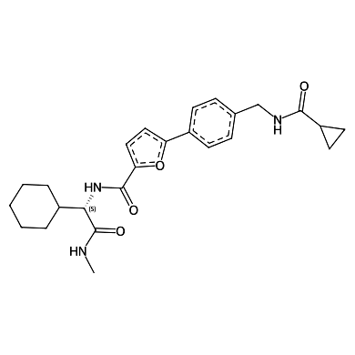 CNC(=O)[C@@H](NC(=O)c1ccc(-c2ccc(CNC(=O)C3CC3)cc2)o1)C1CCCCC1